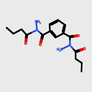 CCCC(=O)N(N)C(=O)c1cccc(C(=O)N(N)C(=O)CCC)c1